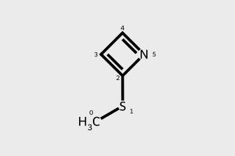 CSC1=CC=N1